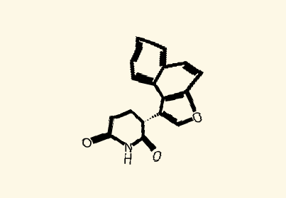 O=C1CC[C@H](c2coc3ccc4ccccc4c23)C(=O)N1